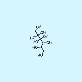 OCC(O)C(O)C(O)(O)C(O)(O)CO